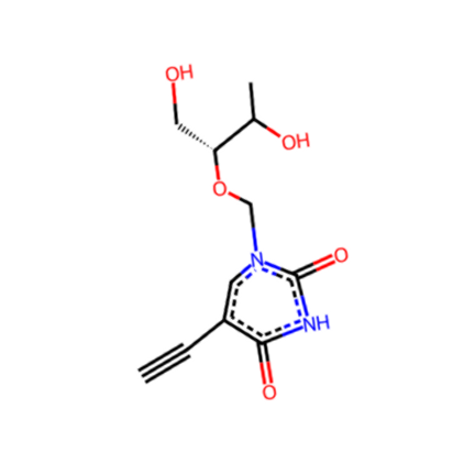 C#Cc1cn(CO[C@H](CO)C(C)O)c(=O)[nH]c1=O